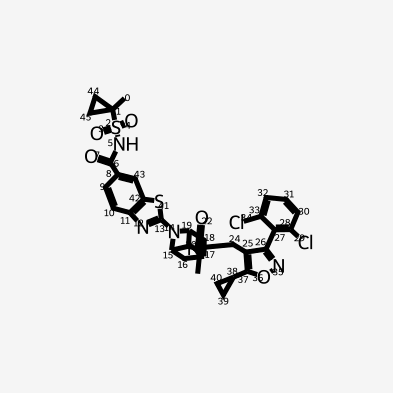 CC1(S(=O)(=O)NC(=O)c2ccc3nc(N4C5CC6CC4C5C(=O)N6Cc4c(-c5c(Cl)cccc5Cl)noc4C4CC4)sc3c2)CC1